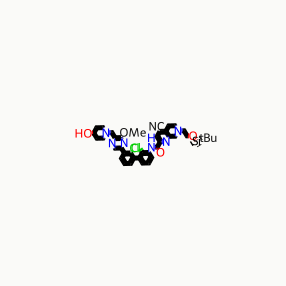 COc1nc(-c2cccc(-c3cccc(NC(=O)c4cc(C#N)c5c(n4)CN(CCO[Si](C)(C)C(C)(C)C)CC5)c3Cl)c2Cl)cnc1CN1CCC(O)CC1